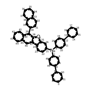 c1ccc(-c2ccc(N(c3ccc(-c4ccccc4)cc3)c3ccc4c(c3)oc3c(-c5ccc6ccccc6c5)c5ccccc5cc34)cc2)cc1